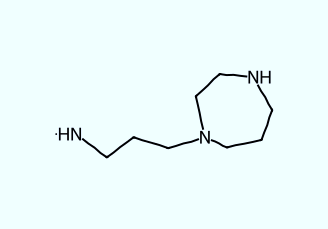 [NH]CCCN1CCCNCC1